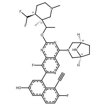 C#Cc1c(F)ccc2cc(O)cc(-c3ncc4c(N5C[C@H]6CC[C@@H](C5)N6)nc(OC(C)[C@]5(C)CN(C)CC[C@@H]5C(F)F)nc4c3F)c12